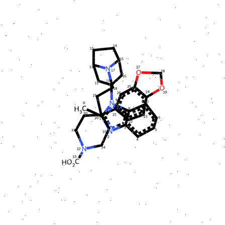 Cc1nc2ccccc2n1C1CC2CCC(C1)N2CCC1(c2ccc3c(c2)OCO3)CCN(C(=O)O)CC1